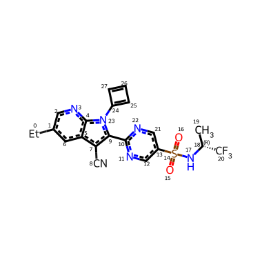 CCc1cnc2c(c1)c(C#N)c(-c1ncc(S(=O)(=O)N[C@H](C)C(F)(F)F)cn1)n2C1=CC=C1